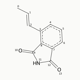 CC=Cc1cccc2c1C(=O)NC2=O